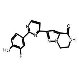 O=C1NCCn2nc(-c3ccnc(-c4ccc(O)c(F)c4)n3)cc21